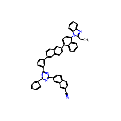 CCc1nc2ccccc2n1-c1ccc(-c2ccc3cc(-c4cccc(-c5nc(-c6ccccc6)nc(-c6ccc7ccc(C#N)cc7c6)n5)c4)ccc3c2)c2ccccc12